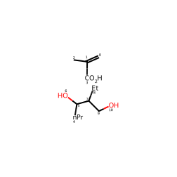 C=C(C)C(=O)O.CCCC(O)C(CC)CO